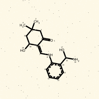 CC1(C)CC(=O)/C(=C\Nc2ccccc2C(N)O)C(O)C1